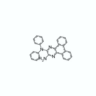 Nc1nc2c3ccccc3c3ccccc3c2nc1N(c1ccccc1)c1ccccc1